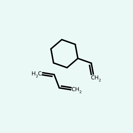 C=CC1CCCCC1.C=CC=C